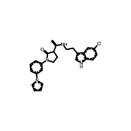 C=C(NCCc1c[nH]c2ccc(Cl)cc12)C1CCN(c2cccc(-n3cccc3)c2)C1=O